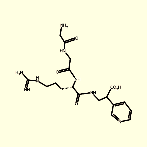 N=C(N)NCCC[C@H](NC(=O)CNC(=O)CN)C(=O)NCC(C(=O)O)c1cccnc1